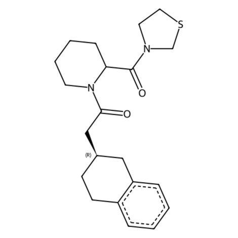 O=C(C1CCCCN1C(=O)C[C@@H]1CCc2ccccc2C1)N1CCSC1